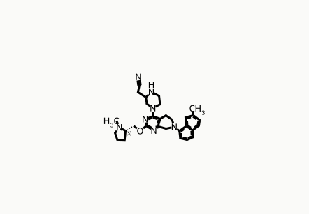 Cc1ccc2cccc(N3CCc4c(nc(OC[C@@H]5CCCN5C)nc4N4CCNC(CC#N)C4)C3)c2c1